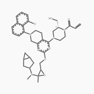 C=CC(=O)N1CCN(c2nc(OCC3SC3(C)N(C)C3CC4CC4C3)nc3c2CCN(c2cccc4cccc(Cl)c24)C3)C[C@@H]1CC#N